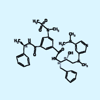 C[C@@H](NC(=O)c1cc(C(=O)N[C@@H](Cc2ccccc2)[C@H](O)CN(C)c2cncc(N(C)C)c2)cc(N(C)S(C)(=O)=O)c1)c1ccccc1